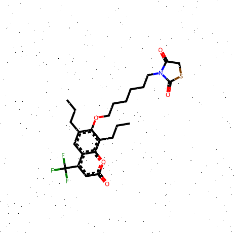 CCCc1cc2c(C(F)(F)F)cc(=O)oc2c(CCC)c1OCCCCCCN1C(=O)CSC1=O